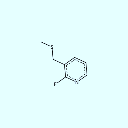 CSCc1cccnc1F